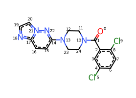 O=C(c1cc(Cl)ccc1Cl)N1CCN(c2ccc3nccn3n2)CC1